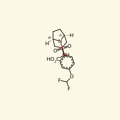 O=C(O)NC1C[C@H]2CC[C@@H](C1)N2S(=O)(=O)c1ccc(OC(F)F)cc1